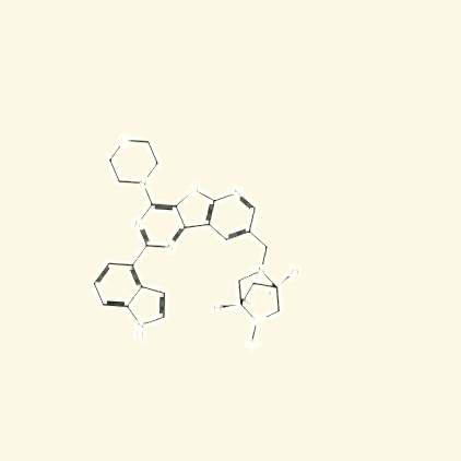 [O-][S+]1C[C@@H]2C[C@H]1CN2Cc1cnc2oc3c(N4CCOCC4)nc(-c4cccc5[nH]ccc45)nc3c2c1